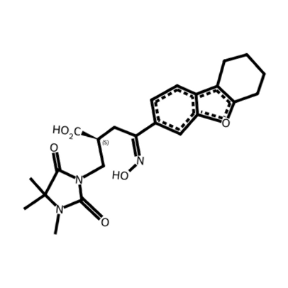 CN1C(=O)N(C[C@H](CC(=NO)c2ccc3c4c(oc3c2)CCCC4)C(=O)O)C(=O)C1(C)C